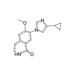 COc1cc2cc[nH]c(=O)c2cc1-n1cnc(C2CC2)c1